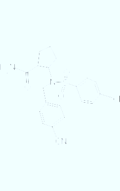 N#Cc1ccc(CN(C2CCCC2C(N)=O)S(=O)(=O)c2ccc(Cl)cc2)cc1